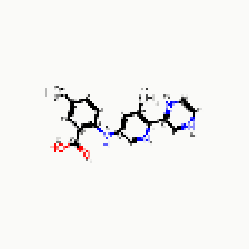 Cc1ccc(Nc2cnc(-c3cnccn3)c(C)c2)c(C(=O)O)c1